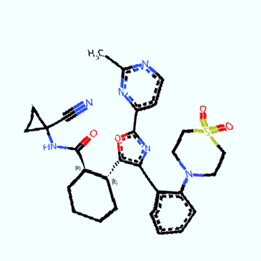 Cc1nccc(-c2nc(-c3ccccc3N3CCS(=O)(=O)CC3)c([C@@H]3CCCC[C@H]3C(=O)NC3(C#N)CC3)o2)n1